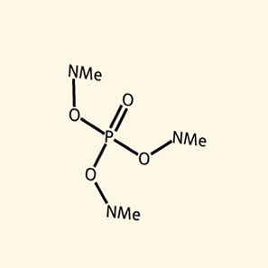 CNOP(=O)(ONC)ONC